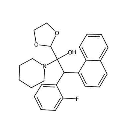 OC(C1OCCO1)(C(c1ccccc1F)c1cccc2ccccc12)N1CCCCC1